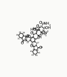 CN(C)[C@@H]1C(O)=C(C(N)=O)C(=O)[C@@]2(O)C(O)=C3C(=O)c4c(O)c(CN5C(=O)c6ccccc6C5=O)cc(CC5C(=O)c6ccccc6C5=O)c4C[C@H]3C[C@@H]12